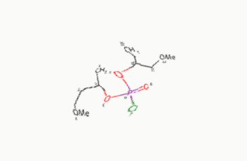 COCC(C)OP(=O)(Cl)OC(C)COC